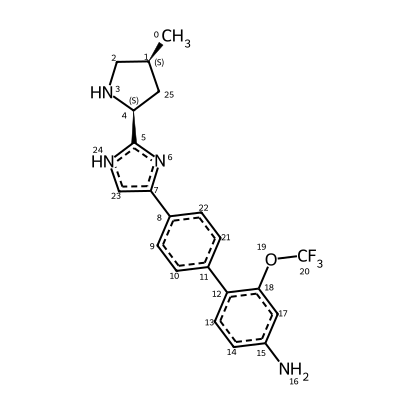 C[C@@H]1CN[C@H](c2nc(-c3ccc(-c4ccc(N)cc4OC(F)(F)F)cc3)c[nH]2)C1